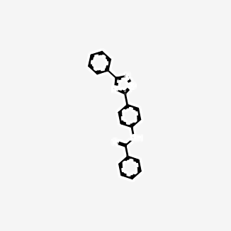 O=C(Nc1ccc(-c2nc(-c3ccccc3)no2)cc1)c1ccccc1